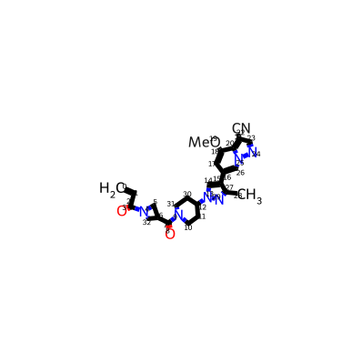 C=CC(=O)N1CC(C(=O)N2CCC(n3cc(-c4cc(OC)c5c(C#N)cnn5c4)c(C)n3)CC2)C1